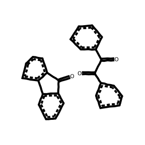 O=C(C(=O)c1ccccc1)c1ccccc1.O=C1c2ccccc2-c2ccccc21